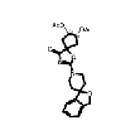 CC(=O)O[C@H]1CC2(C[C@H]1OC(C)=O)OC(N1CCC3(CC1)OCc1ccccc13)=NC2=O